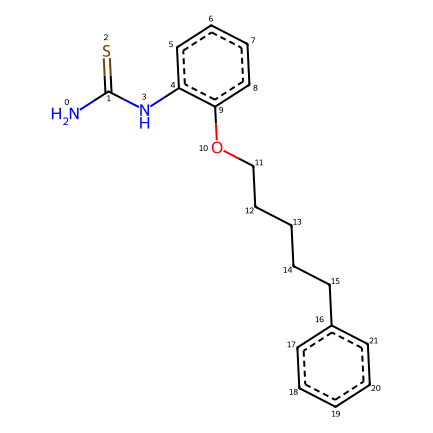 NC(=S)Nc1ccccc1OCCCCCc1ccccc1